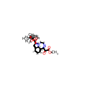 COC(=O)C(=O)C1=NCC[N@@+]2(COC(C)(C)C)C(C(=O)OC(C)(C)C)C=C3C=CC=C1C32